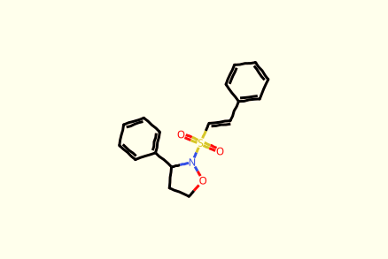 O=S(=O)(C=Cc1ccccc1)N1OCCC1c1ccccc1